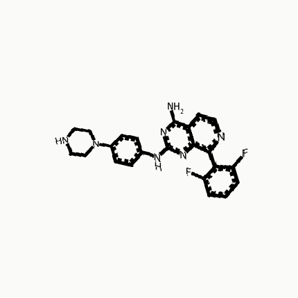 Nc1nc(Nc2ccc(N3CCNCC3)cc2)nc2c(-c3c(F)cccc3F)nccc12